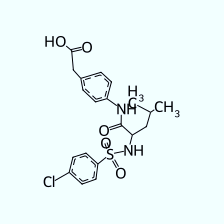 CC(C)CC(NS(=O)(=O)c1ccc(Cl)cc1)C(=O)Nc1ccc(CC(=O)O)cc1